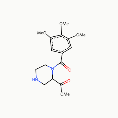 COC(=O)C1CNCCN1C(=O)c1cc(OC)c(OC)c(OC)c1